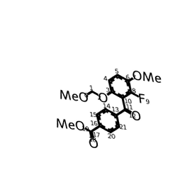 COCOc1ccc(OC)c(F)c1C(=O)c1ccc(C(=O)OC)cc1